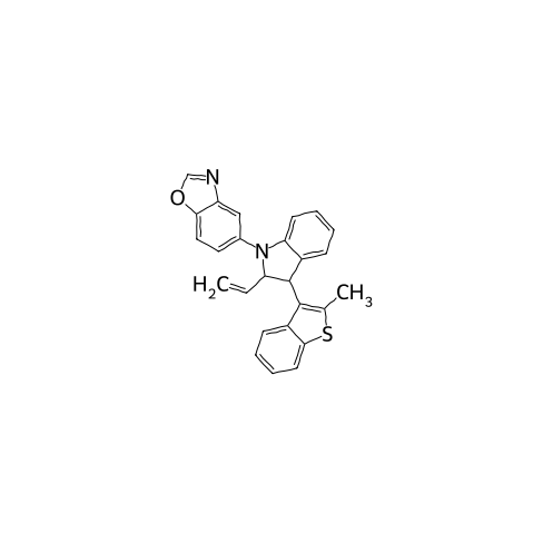 C=CC1C(c2c(C)sc3ccccc23)c2ccccc2N1c1ccc2ocnc2c1